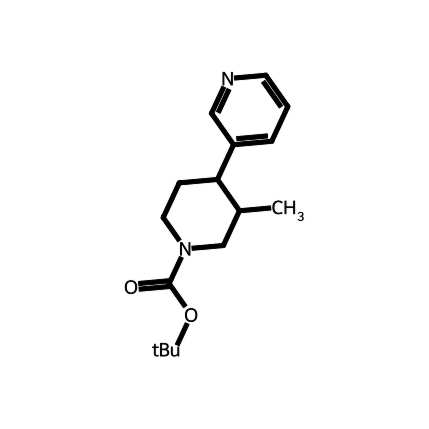 CC1CN(C(=O)OC(C)(C)C)CCC1c1cccnc1